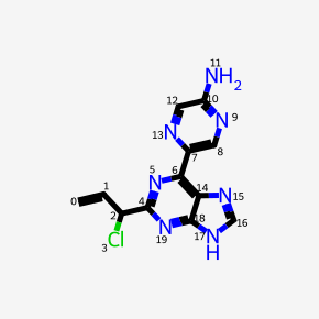 C=CC(Cl)c1nc(-c2cnc(N)cn2)c2nc[nH]c2n1